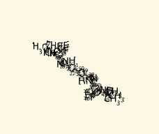 CC(C)(C)CNC(=O)C[C@@H](CCC(F)(F)F)c1ncc(C2=CC=C(c3ccc(-c4cnc([C@H](CCC(F)(F)F)CC(=O)NCC(C)(C)C)[nH]4)cc3)CC2)[nH]1